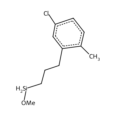 CO[SiH2]CCCc1cc(Cl)ccc1C